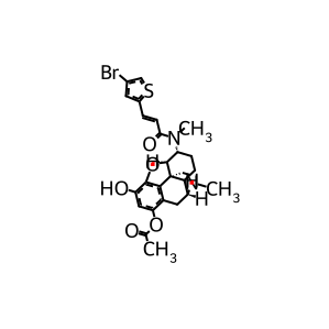 CC(=O)Oc1cc(O)c2c3c1C[C@@H]1[C@@H]4CC[C@@H](N(C)C(=O)/C=C/c5cc(Br)cs5)[C@H](O2)[C@]34CCN1C